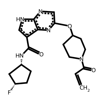 C=CC(=O)N1CCC(Oc2cnc3[nH]cc(C(=O)N[C@@H]4CC[C@H](F)C4)c3n2)CC1